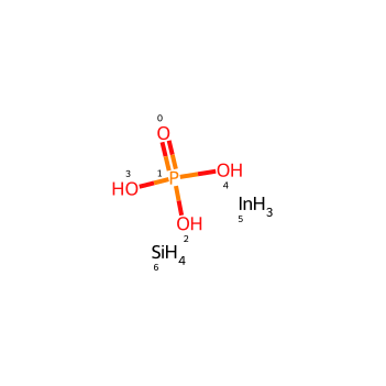 O=P(O)(O)O.[InH3].[SiH4]